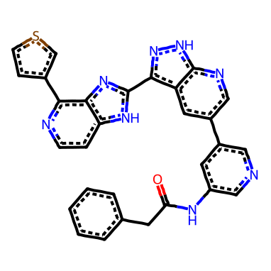 O=C(Cc1ccccc1)Nc1cncc(-c2cnc3[nH]nc(-c4nc5c(-c6ccsc6)nccc5[nH]4)c3c2)c1